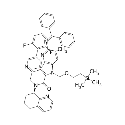 Cc1cc2c(nc1N=C(c1ccccc1)c1ccccc1)c(I)c(C(=O)N(Cc1ccc(-c3c(F)cccc3F)cn1)[C@@H]1CCCc3cccnc31)n2COCC[Si](C)(C)C